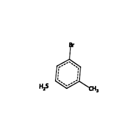 Cc1cccc(Br)c1.S